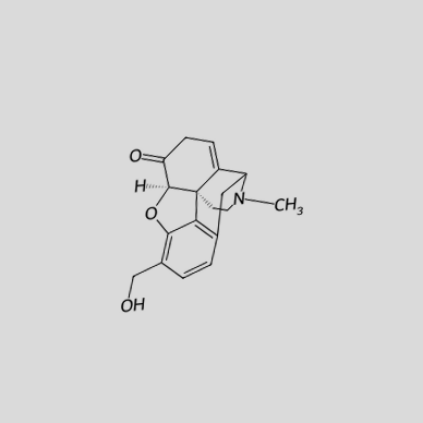 CN1CC[C@@]23C4=CCC(=O)[C@@H]2Oc2c(CO)ccc(c23)CC41